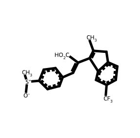 CC1=C(C(=Cc2ccc([S+](C)[O-])cc2)C(=O)O)c2cc(C(F)(F)F)ccc2C1